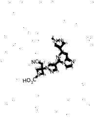 Cn1cc(-c2cc3nccn3c(-c3cnn(C4(CC#N)CN(C(=O)O)C4)c3)n2)cn1